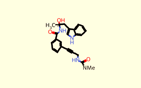 CNC(=O)NCC#Cc1cccc(C(=O)N[C@](C)(O)Cc2c[nH]c3ccccc23)c1